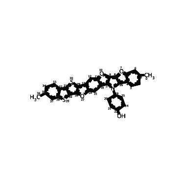 Cc1ccc2c(c1)oc1c3oc4cc5c(cc4c3n(-c3ccc(O)cc3)c21)oc1c5sc2c3ccc(C)cc3sc12